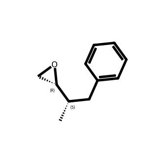 C[C@@H](Cc1ccccc1)[C@@H]1CO1